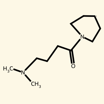 CN(C)CCCC(=O)N1CC[CH]CC1